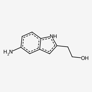 Nc1ccc2[nH]c(CCO)cc2c1